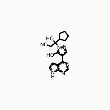 N#CCC(O)(C1CCCC1)n1ncc(-c2ncnc3[nH]ccc23)c1O